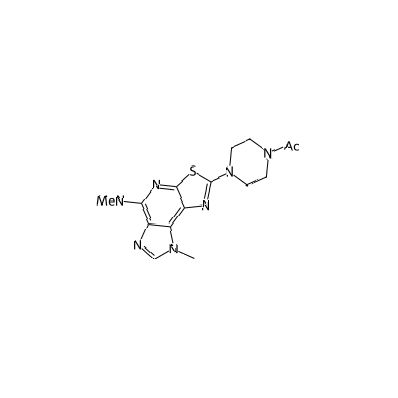 CNc1nc2sc(N3CCN(C(C)=O)CC3)nc2c2c1ncn2C